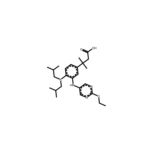 CCOc1ncc(Nc2cc(C(C)(C)CC(=O)O)ccc2N(CC(C)C)CC(C)C)cn1